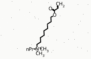 C=CC(=O)OCCCCCCCCC[N+](C)(C)CCC